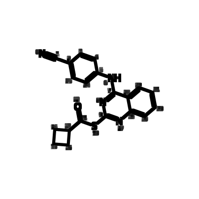 N#Cc1ccc(Nc2nc(SC(=O)C3CCC3)nc3ccccc23)cc1